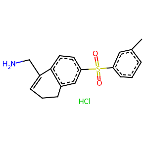 Cc1cccc(S(=O)(=O)c2ccc3c(c2)CCC=C3CN)c1.Cl